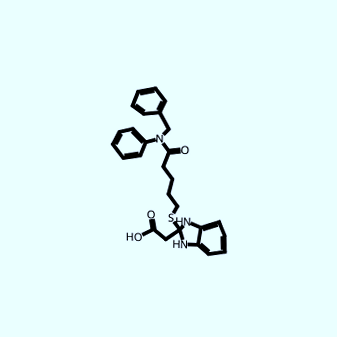 O=C(O)CC1(SCCCCC(=O)N(Cc2ccccc2)c2ccccc2)Nc2ccccc2N1